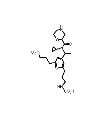 COCCCc1cc(C(C)N(C(=O)C2CNCCO2)C2CC2)cc(CCCNC(=O)O)n1